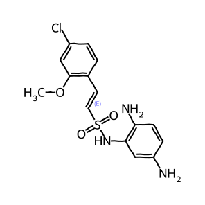 COc1cc(Cl)ccc1/C=C/S(=O)(=O)Nc1cc(N)ccc1N